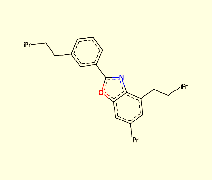 CC(C)CCc1cccc(-c2nc3c(CCC(C)C)cc(C(C)C)cc3o2)c1